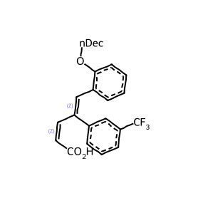 CCCCCCCCCCOc1ccccc1/C=C(/C=C\C(=O)O)c1cccc(C(F)(F)F)c1